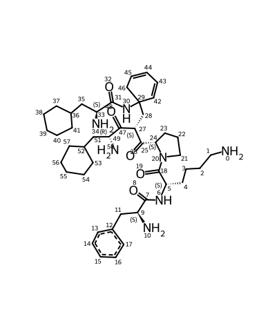 NCCCC[C@H](NC(=O)[C@@H](N)Cc1ccccc1)C(=O)N1CCC[C@H]1C(=O)[C@@H](CC1(NC(=O)[C@@H](N)CC2CCCCC2)C=CC=CC1)C(=O)[C@H](N)CC1CCCCC1